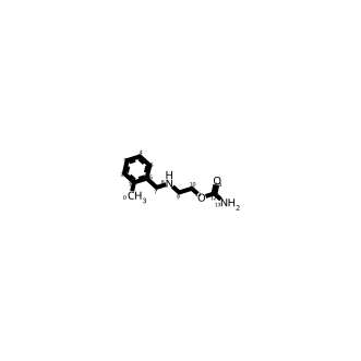 Cc1ccccc1CNCCOC(N)=O